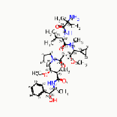 CO[C@H]([C@@H](C)C(=O)N[C@H](C)[C@@H](O)c1ccccc1)[C@@H]1CCCN1C(=O)C[C@@H](OC)[C@H](C1CC1)N(C)C(=O)[C@@H](NC(=O)C(C)(C)N)C(C)C